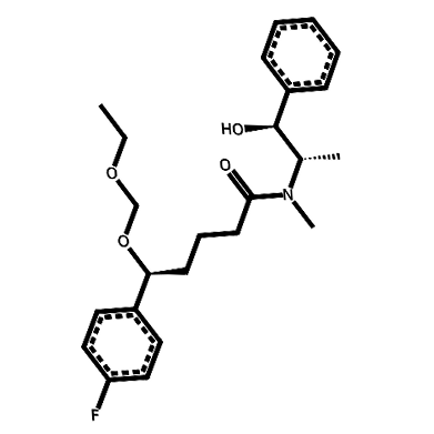 CCOCO[C@@H](CCCC(=O)N(C)[C@@H](C)[C@@H](O)c1ccccc1)c1ccc(F)cc1